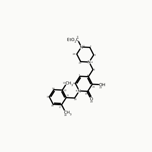 CCOC(=O)N1CCN(Cc2ccn(Cc3c(C)cccc3C)c(=O)c2O)CC1